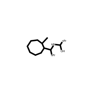 CCCC(O)NC(CCC)C1CCCCCCC1C